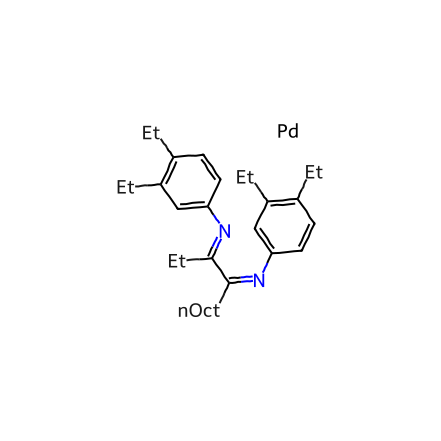 CCCCCCCCC(=Nc1ccc(CC)c(CC)c1)C(CC)=Nc1ccc(CC)c(CC)c1.[Pd]